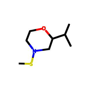 CSN1CCOC(C(C)C)C1